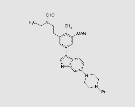 COc1cc(-c2cnc3cc(N4CCN(C(C)C)CC4)ccn23)cc(CCN(C=O)CC(F)(F)F)c1C